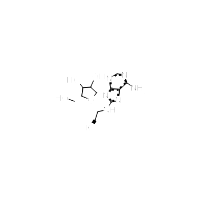 C#CCNc1nc2c(N)ncnc2n1[C@@H]1O[C@H](CO)C(O)C1O